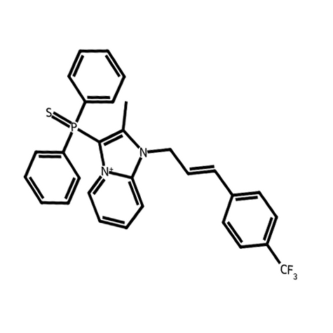 Cc1c(P(=S)(c2ccccc2)c2ccccc2)[n+]2ccccc2n1C/C=C/c1ccc(C(F)(F)F)cc1